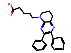 O=C(O)CCCCN1CCCc2nc(-c3ccccc3)c(-c3ccccc3)nc21